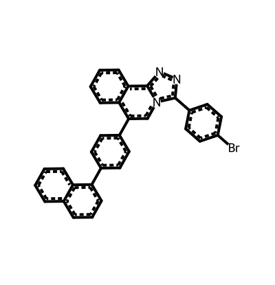 Brc1ccc(-c2nnc3c4ccccc4c(-c4ccc(-c5cccc6ccccc56)cc4)cn23)cc1